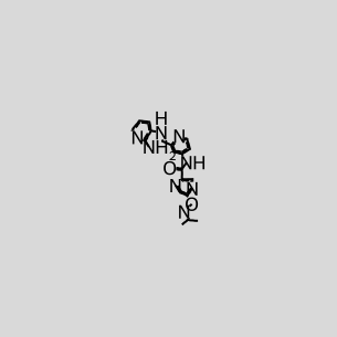 CC(C)=NOc1cnc(C(=O)Nc2ccnc(CNc3cccnc3N)c2)cn1